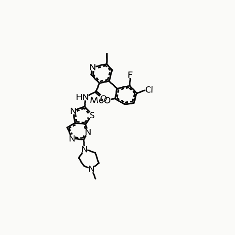 COc1ccc(Cl)c(F)c1-c1cc(C)ncc1C(=O)Nc1nc2cnc(N3CCN(C)CC3)nc2s1